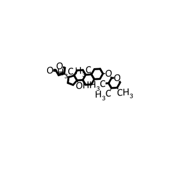 CC1[C@@H](O[C@H]2CC[C@@]3(C)C(CCC4C3CC[C@]3(C)[C@@H](C5=CC(=O)OC5)CC[C@]43O)C2)OC[C@H](C)[C@@H]1C